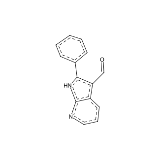 O=Cc1c(-c2ccccc2)[nH]c2ncccc12